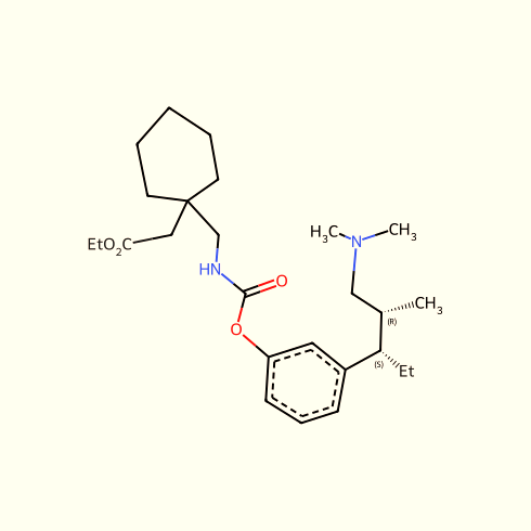 CCOC(=O)CC1(CNC(=O)Oc2cccc([C@@H](CC)[C@@H](C)CN(C)C)c2)CCCCC1